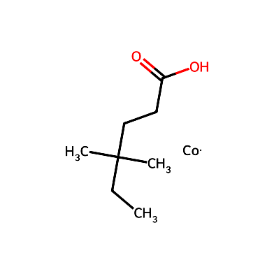 CCC(C)(C)CCC(=O)O.[Co]